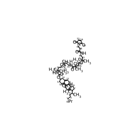 CC(C)CCC[C@@H](C)C1CCC2[C@@H]3CC=C4C[C@@H](OC(=O)NC(C)(C)CCOC(C)(C)CCNC(=O)C(C)(C)CCOC(C)(C)CCNC(=O)CCN5C(=O)C=CC5=O)CC[C@]4(C)C3CC[C@@]21C